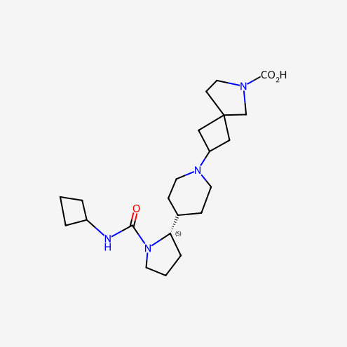 O=C(O)N1CCC2(CC(N3CCC([C@@H]4CCCN4C(=O)NC4CCC4)CC3)C2)C1